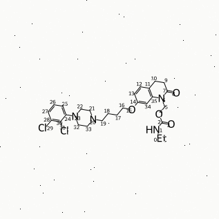 CCNC(=O)OCN1C(=O)CCc2ccc(OCCCCN3CCN(c4cccc(Cl)c4Cl)CC3)cc21